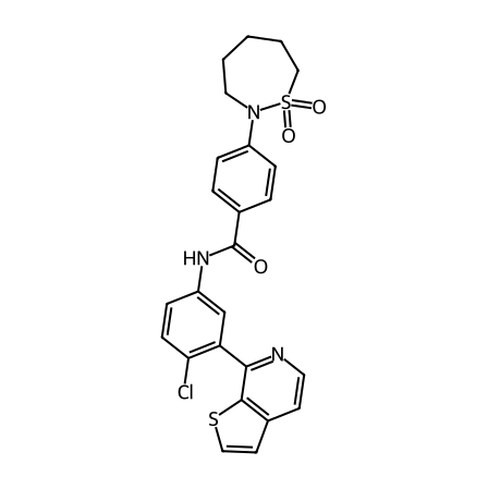 O=C(Nc1ccc(Cl)c(-c2nccc3ccsc23)c1)c1ccc(N2CCCCCS2(=O)=O)cc1